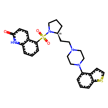 O=c1ccc2c(S(=O)(=O)N3CCC[C@H]3CCN3CCN(c4cccc5sccc45)CC3)cccc2[nH]1